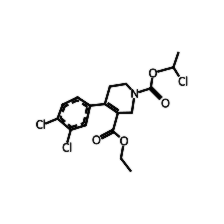 CCOC(=O)C1=C(c2ccc(Cl)c(Cl)c2)CCN(C(=O)OC(C)Cl)C1